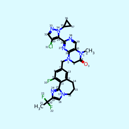 CN1C(=O)CN(Cc2cc(F)c3c(c2)CCCn2cc(C(C)(F)F)nc2-3)c2nc(-c3c(Cl)cnn3C3CC3)ncc21